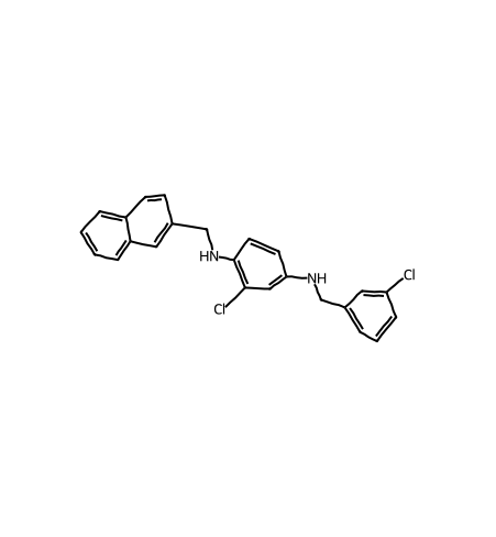 Clc1cccc(CNc2ccc(NCc3ccc4ccccc4c3)c(Cl)c2)c1